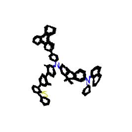 Cc1cc(-c2cccc3c2sc2ccccc23)ccc1-c1ccc(N(c2ccc(-c3ccc4c5ccccc5c5ccccc5c4c3)cc2)c2ccc3c(c2)C(C)(C)c2cc(N(c4ccccc4)c4cccc5ccccc45)ccc2-3)cc1C